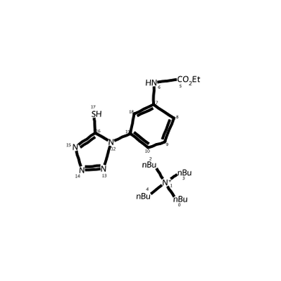 CCCC[N+](CCCC)(CCCC)CCCC.CCOC(=O)Nc1cccc(-n2nnnc2S)c1